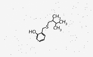 CC(C)C(C)CSCc1ccccc1O